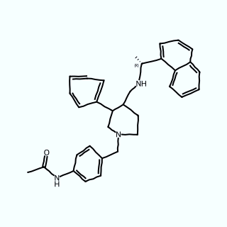 CC(=O)Nc1ccc(CN2CCC(CN[C@H](C)c3cccc4ccccc34)C(c3ccccc3)C2)cc1